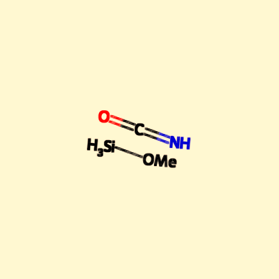 CO[SiH3].N=C=O